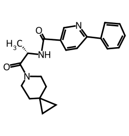 C[C@H](NC(=O)c1ccc(-c2ccccc2)nc1)C(=O)N1CCC2(CC1)CC2